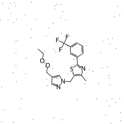 CCOOCc1cnn(Cc2sc(-c3cccc(C(F)(F)F)c3)nc2C)c1